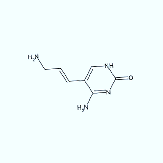 NCC=Cc1c[nH]c(=O)nc1N